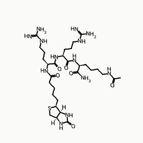 CC(=O)NCCCC[C@H](NC(=O)[C@H](CCCNC(=N)N)NC(=O)[C@H](CCCNC(=N)N)NC(=O)CCCC[C@@H]1SC[C@@H]2NC(=O)N[C@@H]21)C(N)=O